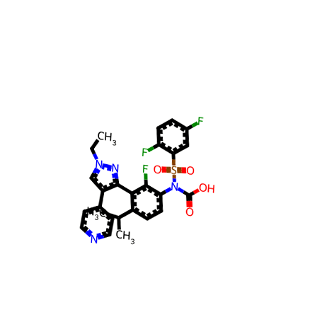 CCn1cc(-c2ccncc2)c(-c2c(C(C)C)ccc(N(C(=O)O)S(=O)(=O)c3cc(F)ccc3F)c2F)n1